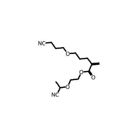 C=C(CCCOCCCC#N)C(=O)OCCOC(C)C#N